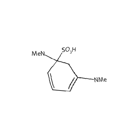 CNC1=CC=CC(NC)(S(=O)(=O)O)C1